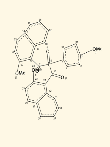 COc1ccc(P(=O)(C(=O)c2c(OC)ccc3ccccc23)C(=O)c2c(OC)ccc3ccccc23)cc1